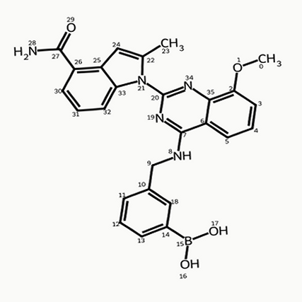 COc1cccc2c(NCc3cccc(B(O)O)c3)nc(-n3c(C)cc4c(C(N)=O)cccc43)nc12